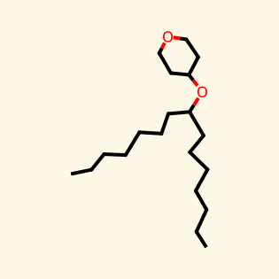 CCCCCCCC(CCCCCCC)OC1CCOCC1